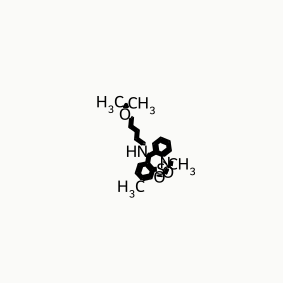 Cc1ccc2c(c1)S(=O)(=O)N(C)c1ccccc1C2NCCCCCOC(C)C